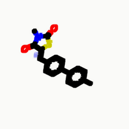 Cc1ccc(-c2ccc(/C=C3\SC(=O)N(C)C3=O)cc2)cc1